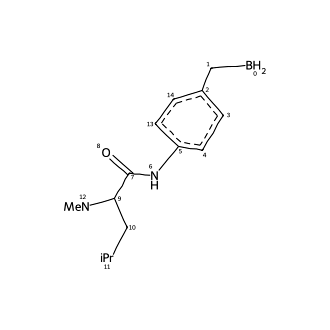 BCc1ccc(NC(=O)C(CC(C)C)NC)cc1